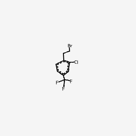 FC(F)(F)c1ccc(CCBr)c(Cl)c1